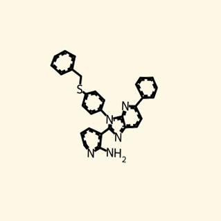 Nc1ncccc1-c1nc2ccc(-c3ccccc3)nc2n1-c1ccc(SCc2ccccc2)cc1